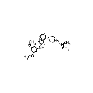 COc1cc(Nc2nc3c(N4CCN(CCN(C)C)CC4)nccn3n2)cc(OC)c1